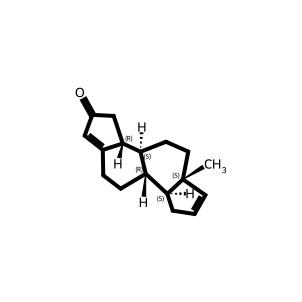 C[C@@]12C=CC[C@H]1[C@@H]1CCC3=CC(=O)C[C@@H]3[C@H]1CC2